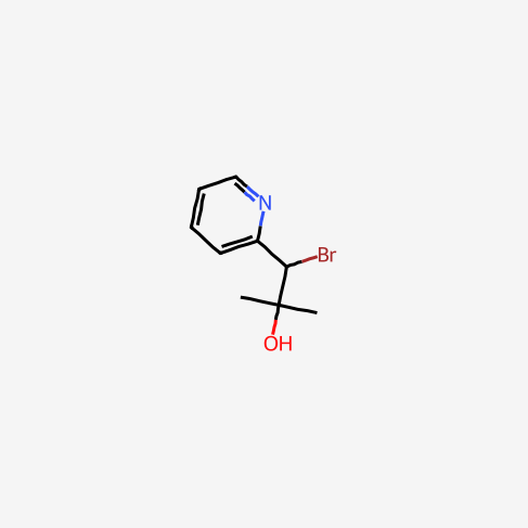 CC(C)(O)C(Br)c1ccccn1